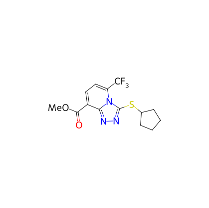 COC(=O)c1ccc(C(F)(F)F)n2c(SC3CCCC3)nnc12